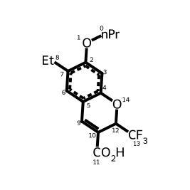 CCCOc1cc2c(cc1CC)C=C(C(=O)O)C(C(F)(F)F)O2